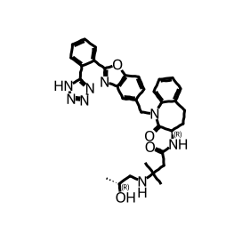 C[C@@H](O)CNC(C)(C)CC(=O)N[C@@H]1CCc2ccccc2N(Cc2ccc3oc(-c4ccccc4-c4nnn[nH]4)nc3c2)C1=O